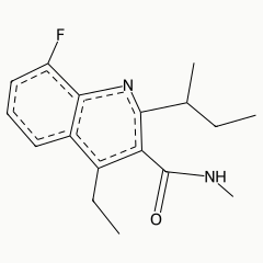 CCc1c(C(=O)NC)c(C(C)CC)nc2c(F)cccc12